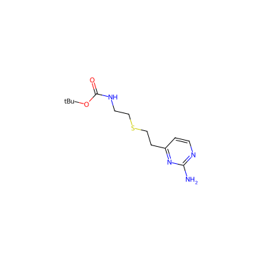 CC(C)(C)OC(=O)NCCSCCc1ccnc(N)n1